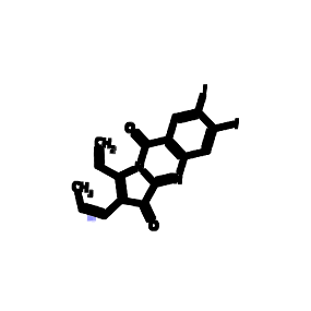 C=CC1=C(/C=C\C)C(=O)c2nc3cc(I)c(I)cc3c(=O)n21